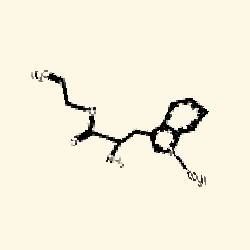 C=CCOC(=O)C(N)Cc1cn(C(=O)O)c2ccccc12